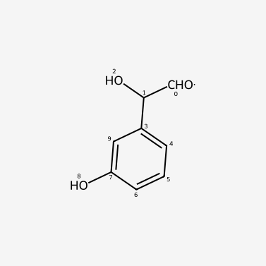 O=[C]C(O)c1cccc(O)c1